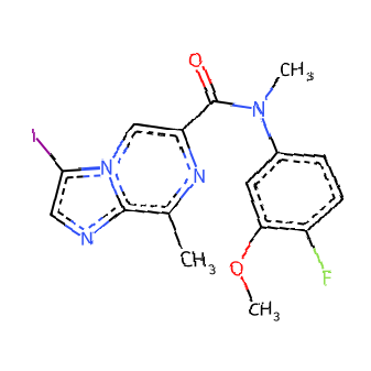 COc1cc(N(C)C(=O)c2cn3c(I)cnc3c(C)n2)ccc1F